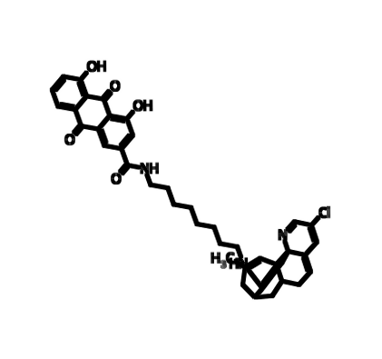 CC1=CC2C3CC=C4C=C(Cl)C=NC42C=C(NCCCCCCCCNC(=O)c2cc(O)c4c(c2)C(=O)c2cccc(O)c2C4=O)C(C1)C3